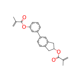 C=C(C)C(=O)Oc1cccc(-c2ccc3c(c2)CC(OC(=O)C(=C)C)C3)c1